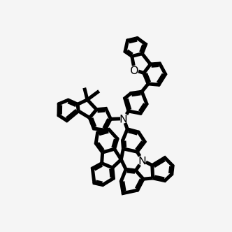 CC1(C)c2ccccc2-c2ccc(N(c3ccc(-c4cccc5c4oc4ccccc45)cc3)c3ccc4c(c3)C3(c5ccccc5-c5ccccc53)c3cccc5c6ccccc6n-4c35)cc21